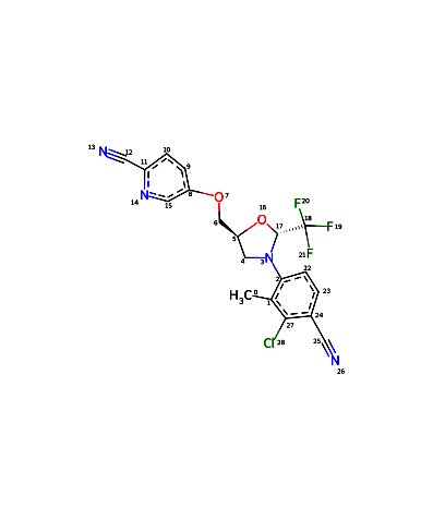 Cc1c(N2C[C@@H](COc3ccc(C#N)nc3)O[C@@H]2C(F)(F)F)ccc(C#N)c1Cl